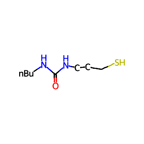 CCCCNC(=O)NCCCS